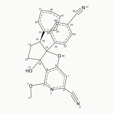 COc1nc(C#N)cc2c1C1(O)CC[C@@H](c3ccccc3)C1(c1ccc(C#N)cc1)O2